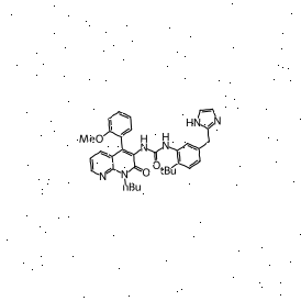 CCCCn1c(=O)c(NC(=O)Nc2cc(Cc3ncc[nH]3)ccc2C(C)(C)C)c(-c2ccccc2OC)c2cccnc21